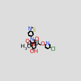 C[C@@]12O[C@@](CCOc3ccc(Cl)cn3)(C[C@H]1O)[C@@H]1C(=O)N(c3ccc4ncsc4c3)C(=O)[C@H]12